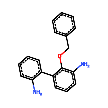 Nc1ccccc1-c1cccc(N)c1OCc1ccccc1